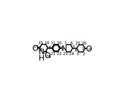 O=C1CCC(C2CCN(c3ccc(C4CCC(=O)NC4=O)cc3)CC2)CC1